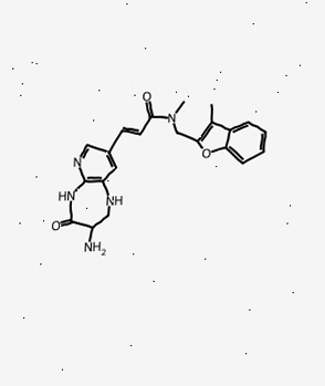 Cc1c(CN(C)C(=O)C=Cc2cnc3c(c2)NCC(N)C(=O)N3)oc2ccccc12